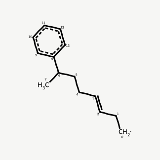 [CH2]C/C=C/CCC(C)c1ccccc1